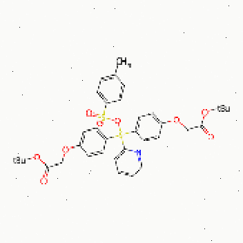 Cc1ccc(S(=O)(=O)OS(c2ccc(OCC(=O)OC(C)(C)C)cc2)(c2ccc(OCC(=O)OC(C)(C)C)cc2)c2ccccn2)cc1